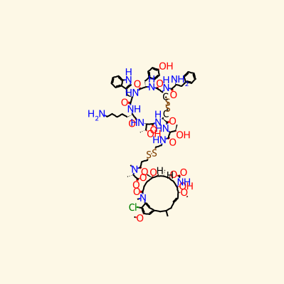 COc1cc2cc(c1Cl)N(C)C(=O)C[C@H](OC(=O)[C@H](C)N(C)C(=O)CCSSCCNC(=O)[C@@H](NC(=O)[C@@H]1CSSC[C@H](NC(=O)[C@H](N)Cc3ccccc3)C(=O)N[C@@H](Cc3ccc(O)cc3)C(=O)N[C@H](Cc3c[nH]c4ccccc34)C(=O)N[C@@H](CCCCCN)C(=O)N[C@@H]([C@@H](C)O)C(=O)N1)[C@@H](C)O)[C@]1(C)O[C@H]1[C@H](C)[C@@H]1C[C@@](O)(NC(=O)O1)[C@H](OC)/C=C/CC(C)C2